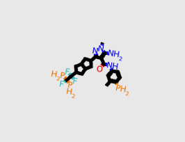 Cc1cc(NC(=O)c2c(C3CC4CC(C(F)(F)C(F)(P)P)CC4C3)nn(C)c2N)ccc1P